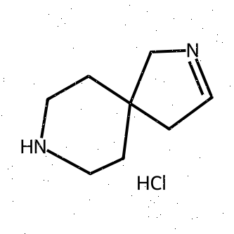 C1=NCC2(C1)CCNCC2.Cl